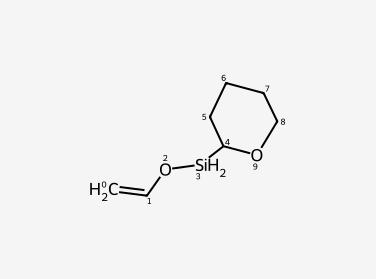 C=CO[SiH2]C1CCCCO1